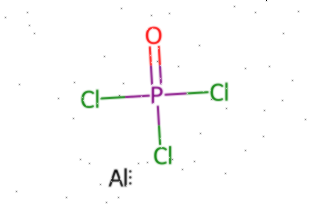 O=P(Cl)(Cl)Cl.[Al]